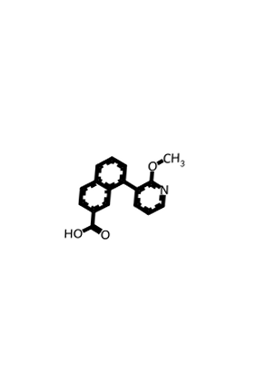 COc1ncccc1-c1cccc2ccc(C(=O)O)cc12